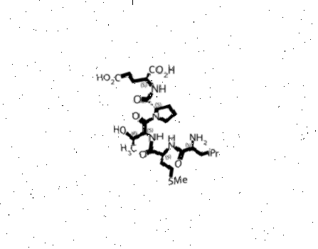 CSCC[C@H](NC(=O)[C@@H](N)CC(C)C)C(=O)N[C@H](C(=O)N1CCC[C@H]1C(=O)N[C@@H](CCC(=O)O)C(=O)O)[C@@H](C)O